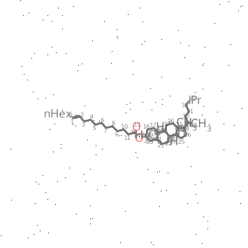 CCCCCCC=CCCCCCCCCCC(=O)O[C@H]1CC[C@@]2(C)C(=CC[C@H]3[C@@H]4CC[C@H]([C@H](C)CCCC(C)C)[C@@]4(C)CC[C@@H]32)C1